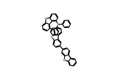 c1ccc(N(c2ccccc2)c2cccc3oc4cccc(-c5cccc6c5oc5ccc(-c7ccc8c(c7)oc7ccccc78)cc56)c4c23)cc1